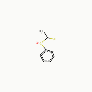 CC(S)[S+]([O-])c1[c]cccc1